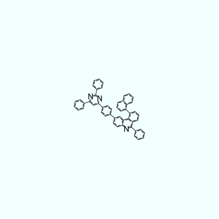 c1ccc(-c2cc(-c3ccc(-c4ccc5nc(-c6ccccc6)c6cccc(-c7cccc8ccccc78)c6c5c4)cc3)nc(-c3ccccc3)n2)cc1